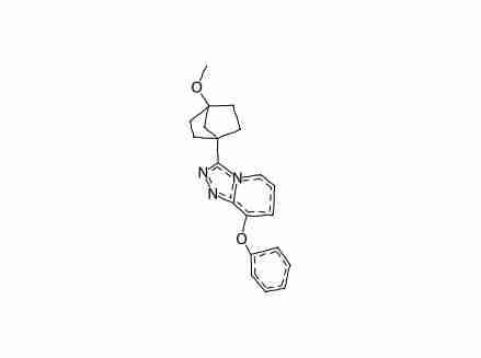 COC12CCC(c3nnc4c(Oc5ccccc5)cccn34)(CC1)C2